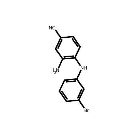 N#Cc1ccc(Nc2cccc(Br)c2)c(N)c1